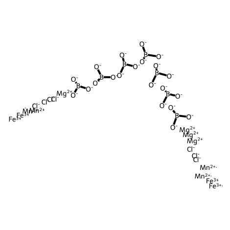 [Cl-].[Cl-].[Cl-].[Cl-].[Cl-].[Cl-].[Cl-].[Fe+3].[Fe+3].[Fe+3].[Fe+3].[Mg+2].[Mg+2].[Mg+2].[Mg+2].[Mn+2].[Mn+2].[Mn+2].[Mn+2].[O-]B([O-])[O-].[O-]B([O-])[O-].[O-]B([O-])[O-].[O-]B([O-])[O-].[O-]B([O-])[O-].[O-]B([O-])[O-].[O-]B([O-])[O-]